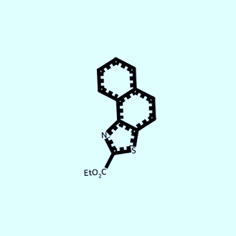 CCOC(=O)c1nc2c(ccc3ccccc32)s1